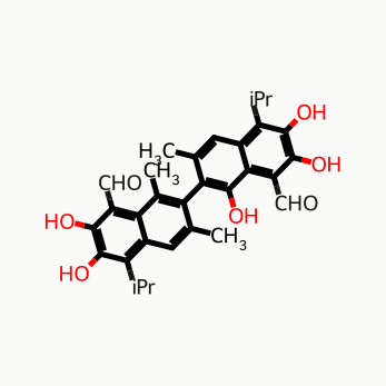 Cc1cc2c(C(C)C)c(O)c(O)c(C=O)c2c(C)c1-c1c(C)cc2c(C(C)C)c(O)c(O)c(C=O)c2c1O